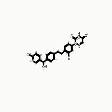 O=c1cnn(-c2ccc(CCc3ccc(C(O)c4ccc(Cl)nc4)cc3)c(Cl)c2)c(=O)[nH]1